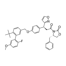 COc1ccc(F)c(-c2cc(COc3ccc([C@H](CC(=O)N4C(=O)OC[C@@H]4Cc4ccccc4)c4ccon4)cc3)ccc2C(C)(C)C)c1